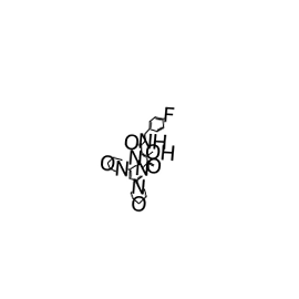 O=C(NCc1ccc(F)cc1)c1nc2c(N3CCOCC3)cc(N3CCOCC3)cn2c(=O)c1O